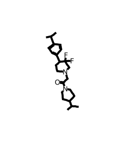 CC(C)c1ccc(C2CCN(CC(=O)N3CCC(C(C)C)CC3)CC2(F)F)cc1